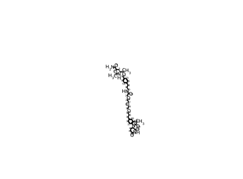 CC(=O)N[C@@H](CCC(N)=O)[C@@H](C)OCc1ccc(CCCNC(=O)COCCOCCOCCCc2ccc3c(c2)n(C)c(=O)n3C2CCC(=O)NC2=O)cc1